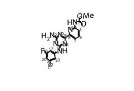 COC(=O)Nc1cccc(-c2nc(N)nc(Nc3cc(F)cc(F)c3)n2)n1